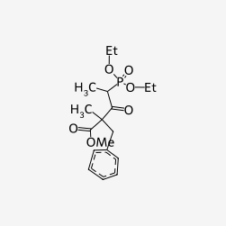 CCOP(=O)(OCC)C(C)C(=O)C(C)(Cc1ccccc1)C(=O)OC